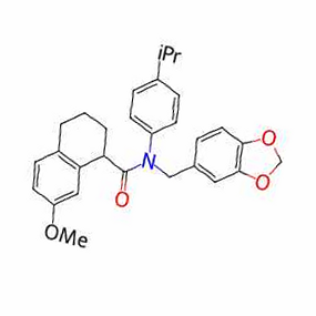 COc1ccc2c(c1)C(C(=O)N(Cc1ccc3c(c1)OCO3)c1ccc(C(C)C)cc1)CCC2